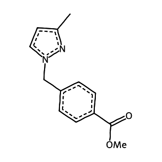 COC(=O)c1ccc(Cn2ccc(C)n2)cc1